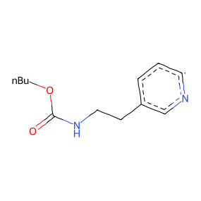 CCCCOC(=O)NCCc1cc[c]nc1